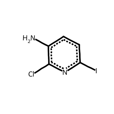 Nc1ccc(I)nc1Cl